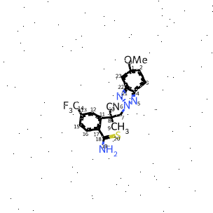 COc1ccc2nn(CC(C)(C#N)c3cc(C(F)(F)F)ccc3C(N)=S)nc2c1